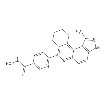 Cc1n[nH]c2ccc3nc(-c4ccc(C(=O)NO)cn4)c4c(c3c12)CCCC4